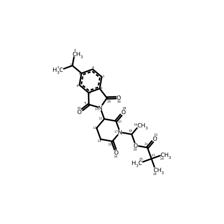 CC(C)c1ccc2c(c1)C(=O)N(C1CCC(=O)N(C(C)OC(=O)C(C)(C)C)C1=O)C2=O